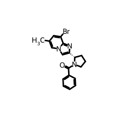 Cc1cc(Br)c2nc([C@@H]3CCCN3C(=O)c3ccccc3)cn2c1